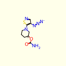 [N-]=[N+]=Nc1cnsc1N1CCC[C@H](OC(N)=O)C1